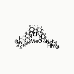 COc1nc(-c2cccc(-c3cccc(-c4ccc5c(n4)CCN(C[C@@H]4CCC(=O)N4)C5)c3Cl)c2Cl)ccc1CNC[C@@H]1CCC(=O)N1